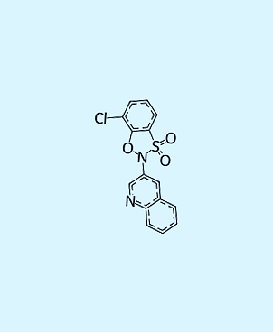 O=S1(=O)c2cccc(Cl)c2ON1c1cnc2ccccc2c1